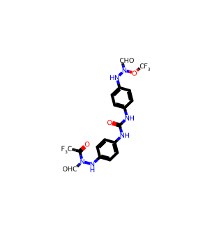 O=CN(Nc1ccc(NC(=O)Nc2ccc(NN(C=O)C(=O)C(F)(F)F)cc2)cc1)OC(F)(F)F